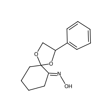 ON=C1CCCCC12OCC(c1ccccc1)O2